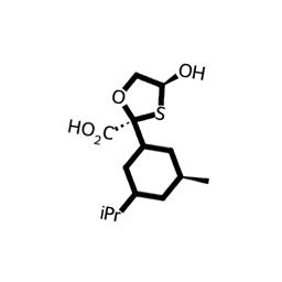 CC(C)C1CC([C@@]2(C(=O)O)OC[C@@H](O)S2)C[C@@H](C)C1